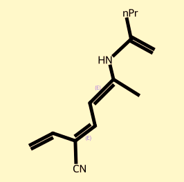 C=C/C(C#N)=C\C=C(/C)NC(=C)CCC